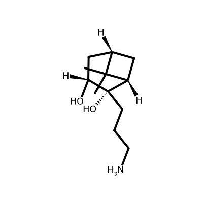 CC1(C)[C@@H]2C[C@@H](O)[C@](O)(CCCN)[C@H]1C2